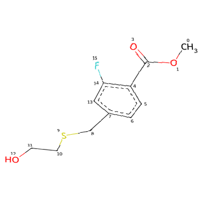 COC(=O)c1ccc(CSCCO)cc1F